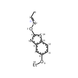 C/C=N/Oc1nc2cc(OCC)ccc2s1